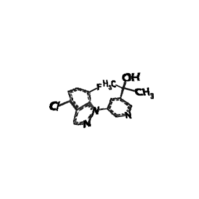 CC(C)(O)c1cncc(-n2ncc3c(Cl)ccc(F)c32)c1